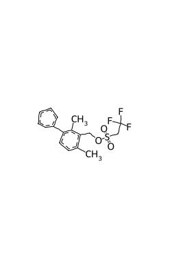 Cc1ccc(-c2ccccc2)c(C)c1COS(=O)(=O)CC(F)(F)F